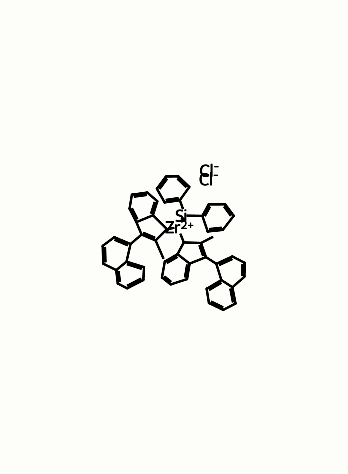 CC1=C(c2cccc3ccccc23)c2ccccc2[CH]1[Zr+2]([CH]1C(C)=C(c2cccc3ccccc23)c2ccccc21)=[Si](c1ccccc1)c1ccccc1.[Cl-].[Cl-]